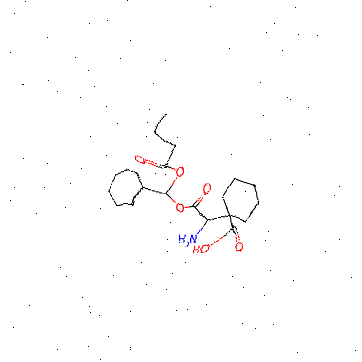 CCCC(=O)OC(OC(=O)C(N)C1(C(=O)O)CCCCC1)C1CCCCC1